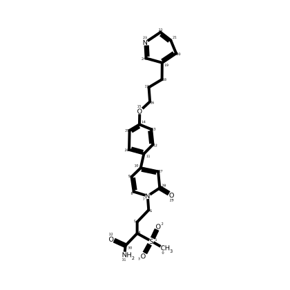 CS(=O)(=O)C(CCn1ccc(-c2ccc(OCCCc3cccnc3)cc2)cc1=O)C(N)=O